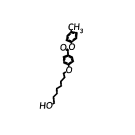 Cc1ccc(OC(=O)c2ccc(OCCCCCCCCO)cc2)cc1